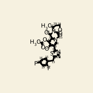 CC(=O)Oc1c2n(cc(-c3nnc(Cc4ccc(F)cc4F)s3)c1=O)C[C@@H]1OCC[C@@H](C)N1C2=O